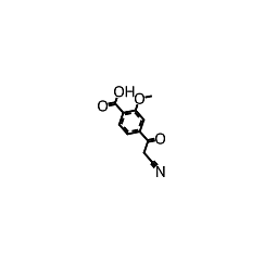 COc1cc(C(=O)CC#N)ccc1C(=O)O